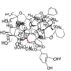 CC(=O)N[C@@H]1[C@@H](O)[C@H](O)[C@@H](CO)O[C@H]1[C@]1(O)[C@@H]2OC(C)(C)OC[C@H]2O[C]([C@@H]2O[C@@H]3COC4(CCCCC4)O[C@H]3[C@H](O)[C@H]2O)[C@@]1(O[C@@H]1O[C@H](COC(C)=O)[C@@H](OC(C)=O)[C@H](OC(C)=O)[C@H]1NC(C)=O)[C@]1([C@]2(O[C@]3([C@@H]4O[C@H](CO)[C@@H](OC(C)=O)[C@H](O)[C@H]4O)O[C@@H]4COC(c5ccccc5)O[C@H]4[C@H](O)[C@H]3NC(C)=O)O[C@H](C)[C@@H](O)[C@H](O)[C@H]2O)O[C@@H]2COC(c3ccc(O)c(O)c3)O[C@H]2[C@H](O)[C@H]1O